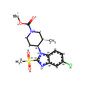 C[C@H]1CN(C(=O)OC(C)(C)C)CC[C@@H]1n1c(S(C)(=O)=O)nc2cc(Cl)ccc21